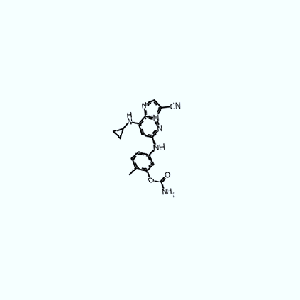 Cc1ccc(Nc2cc(NC3CC3)c3ncc(C#N)n3n2)cc1OC(N)=O